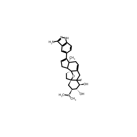 CN(C)[C@H]1C[C@@]23CC[C@@]4(O2)C(=CC[C@]2(C)C(c5ccc6[nH]nc(N)c6c5)=CCC24)CC3(F)[C@@H](O)[C@@H]1O